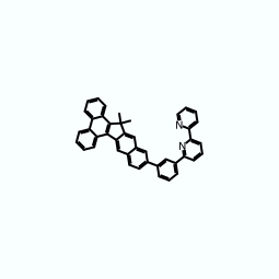 CC1(C)c2cc3cc(-c4cccc(-c5cccc(-c6ccccn6)n5)c4)ccc3cc2-c2c1c1ccccc1c1ccccc21